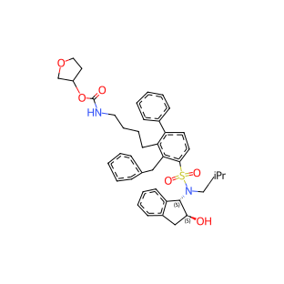 CC(C)CN([C@H]1c2ccccc2C[C@@H]1O)S(=O)(=O)c1ccc(-c2ccccc2)c(CCCCNC(=O)OC2CCOC2)c1Cc1ccccc1